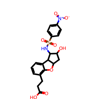 O=C(O)CCc1cccc2c1OC1CC(O)C(NS(=O)(=O)c3ccc([N+](=O)[O-])cc3)C21